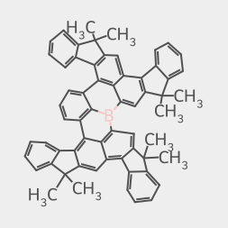 CC1(C)c2ccccc2-c2c1cc1c3c(cc4c1c2-c1cccc2c1B4c1cc4c(c5cc6c(c-2c15)-c1ccccc1C6(C)C)-c1ccccc1C4(C)C)C(C)(C)c1ccccc1-3